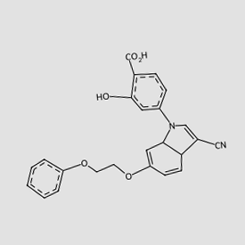 N#CC1=CN(c2ccc(C(=O)O)c(O)c2)C2C=C(OCCOc3ccccc3)C=CC12